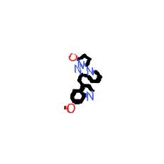 COc1ccc2c(C/C(=N/N3CCCC3=O)c3ccccn3)ccnc2c1